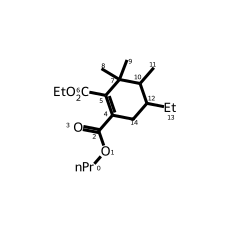 CCCOC(=O)C1=C(C(=O)OCC)C(C)(C)C(C)C(CC)C1